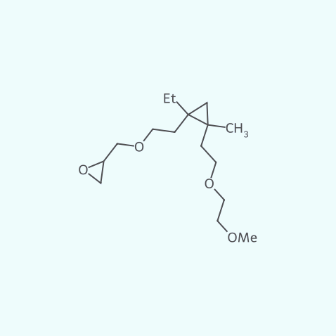 CCC1(CCOCC2CO2)CC1(C)CCOCCOC